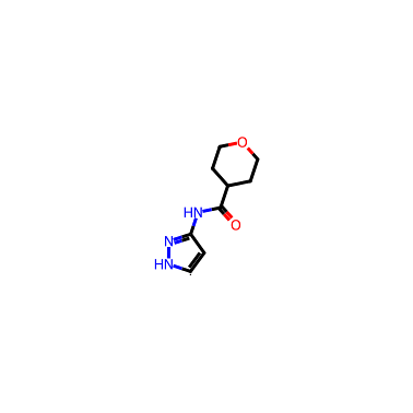 O=C(Nc1c[c][nH]n1)C1CCOCC1